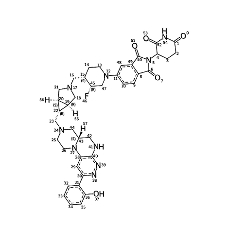 O=C1CCC(N2C(=O)c3ccc(N4CC[C@@H](CN5C[C@@H]6[C@H](C5)[C@H]6CN5CCN6c7cc(-c8ccccc8O)nnc7NC[C@H]6C5)[C@@H](F)C4)cc3C2=O)C(=O)N1